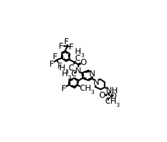 Cc1cc(F)ccc1-c1cc(N2CCC(NS(C)(=O)=O)CC2)ncc1N(C)C(=O)C(C)(C)c1cc(C(F)(F)F)cc(C(F)(F)F)c1